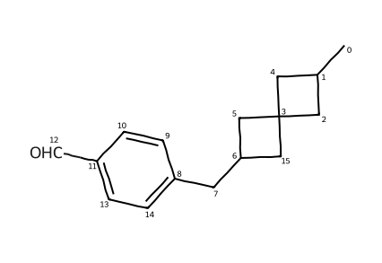 CC1CC2(C1)CC(Cc1ccc(C=O)cc1)C2